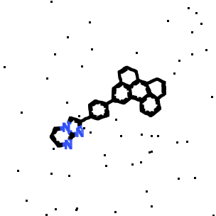 C1=Cc2cccc3c2c(c2c4c(cc(-c5ccc(-c6cn7cccnc7n6)cc5)cc43)C=CC2)C1